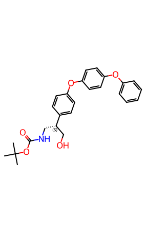 CC(C)(C)OC(=O)NC[C@@H](CO)c1ccc(Oc2ccc(Oc3ccccc3)cc2)cc1